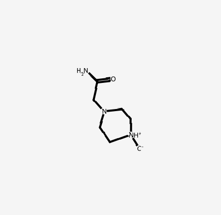 [CH2-][NH+]1CCN(CC(N)=O)CC1